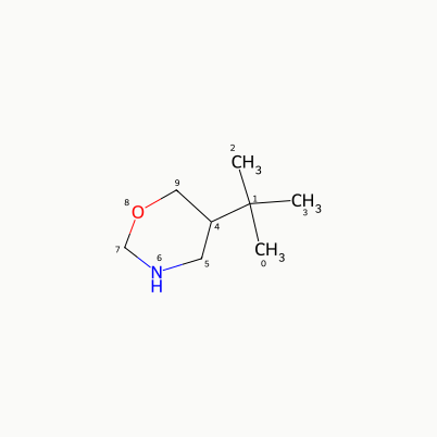 CC(C)(C)C1CNCOC1